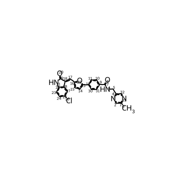 Cc1cnc(CNC(=O)c2ccc(-c3ccc(/C=C4/C(=O)Nc5ccc(Cl)cc54)o3)cc2)cn1